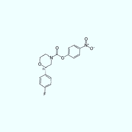 O=C(Oc1ccc([N+](=O)[O-])cc1)N1CCO[C@@H](c2ccc(F)cc2)C1